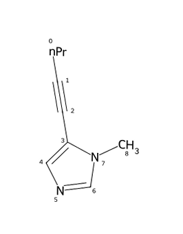 CCCC#Cc1cncn1C